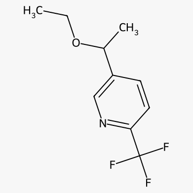 CCOC(C)c1ccc(C(F)(F)F)nc1